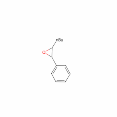 CCCCC1OC1c1ccccc1